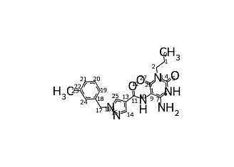 CCCn1c(=O)[nH]c(N)c(NC(=O)c2cnn(Cc3cccc(C)c3)c2)c1=O